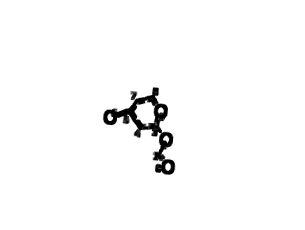 O=COc1cc(=O)cco1